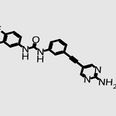 Nc1ncc(C#Cc2cccc(NC(=O)Nc3ccc(F)c(F)c3)c2)cn1